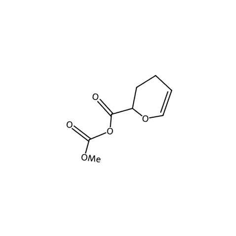 COC(=O)OC(=O)C1CCC=CO1